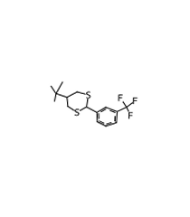 CC(C)(C)C1CSC(c2cccc(C(F)(F)F)c2)SC1